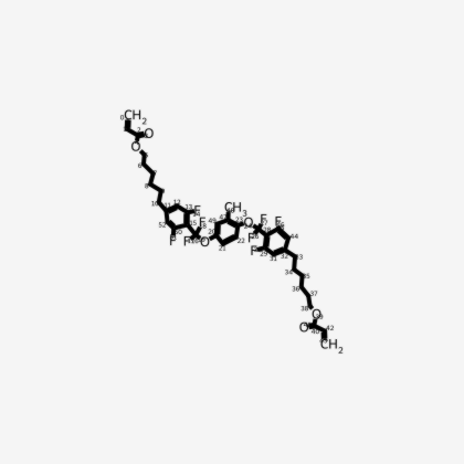 C=CC(=O)OCCCCCCc1cc(F)c(C(F)(F)Oc2ccc(OC(F)(F)c3c(F)cc(CCCCCCOC(=O)C=C)cc3F)c(C)c2)c(F)c1